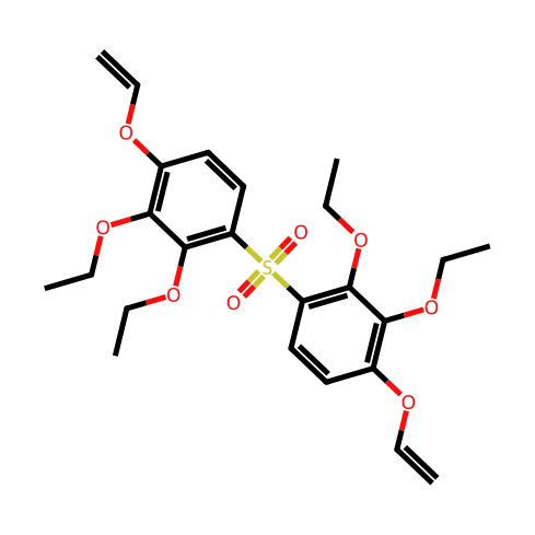 C=COc1ccc(S(=O)(=O)c2ccc(OC=C)c(OCC)c2OCC)c(OCC)c1OCC